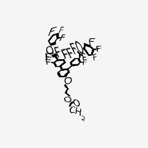 C=CC(=O)OCCCCOc1ccc(-c2cc(F)c(C(F)(F)Oc3cc(F)c(F)c(F)c3)c(F)c2)c(-c2cc(F)c(C(F)(F)Oc3cc(F)c(F)c(F)c3)c(F)c2)c1